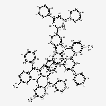 N#Cc1ccc2c(c1)B1c3cc(C#N)ccc3N(c3ccccc3)c3cc(-c4ccc5c(c4)c4ccc(-c6nc(-c7ccccc7)nc(-c7ccccc7)n6)cc4n5-c4ccc(C#N)cc4-c4nc(-c5ccccc5)nc(-c5ccccc5)n4)cc(c31)N2c1ccccc1